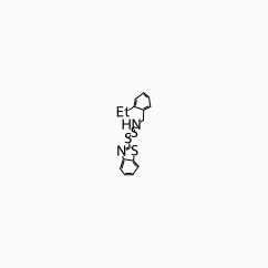 CCc1ccccc1CNSSc1nc2ccccc2s1